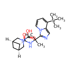 CC(C)(NC(=O)[C@@H]1[C@@H]2C[C@H]1CN(C(=O)O)C2)c1ncc2c([Si](C)(C)C)cccn12